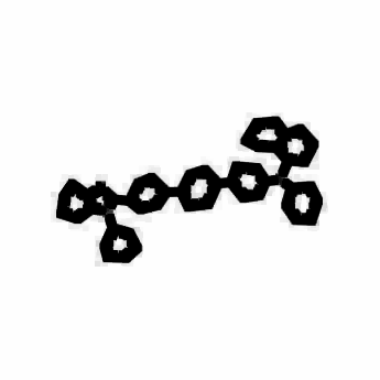 c1ccc(N(c2ccc(-c3ccc(-c4ccc(-c5nc6ccccc6n5-c5ccccc5)cc4)cc3)cc2)c2cccc3ccccc23)cc1